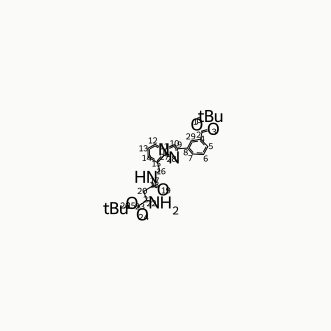 CC(C)(C)OC(=O)c1cccc(-c2cn3cccc(CNC(=O)CC(N)C(=O)OC(C)(C)C)c3n2)c1